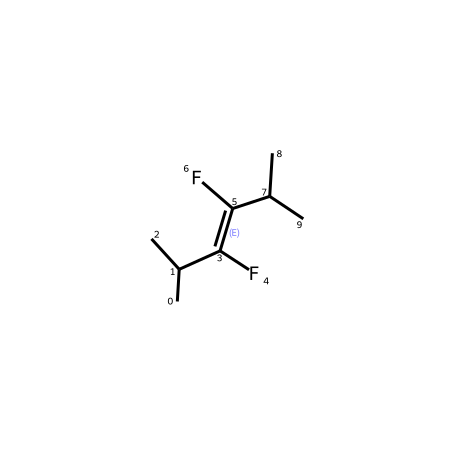 CC(C)/C(F)=C(\F)C(C)C